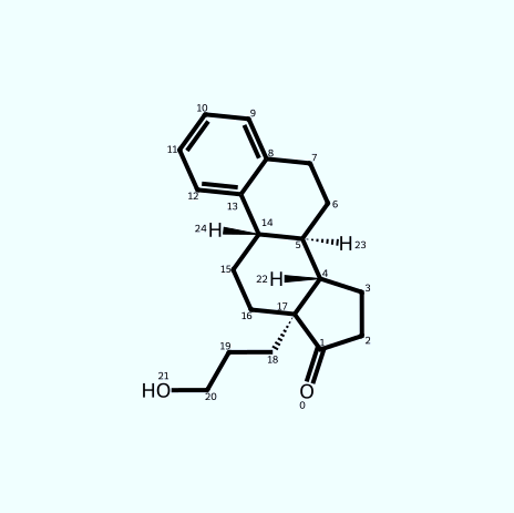 O=C1CC[C@H]2[C@@H]3CCc4ccccc4[C@H]3CC[C@]12CCCO